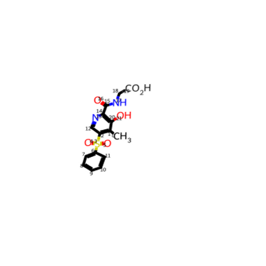 Cc1c(S(=O)(=O)c2ccccc2)cnc(C(=O)NCC(=O)O)c1O